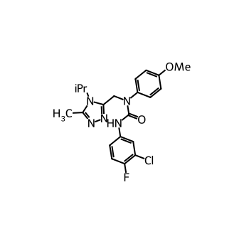 COc1ccc(N(Cc2nnc(C)n2C(C)C)C(=O)Nc2ccc(F)c(Cl)c2)cc1